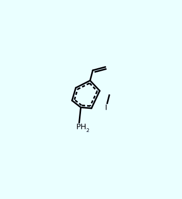 C=Cc1ccc(P)cc1.CI